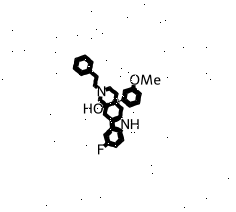 COc1cccc([C@@]23CCN(CCc4ccccc4)C[C@@]2(O)Cc2c([nH]c4ccc(F)cc24)C3)c1